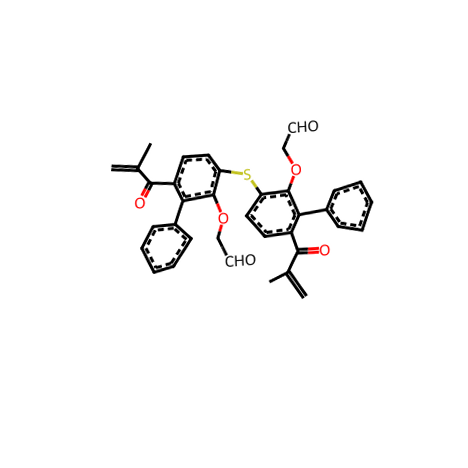 C=C(C)C(=O)c1ccc(Sc2ccc(C(=O)C(=C)C)c(-c3ccccc3)c2OCC=O)c(OCC=O)c1-c1ccccc1